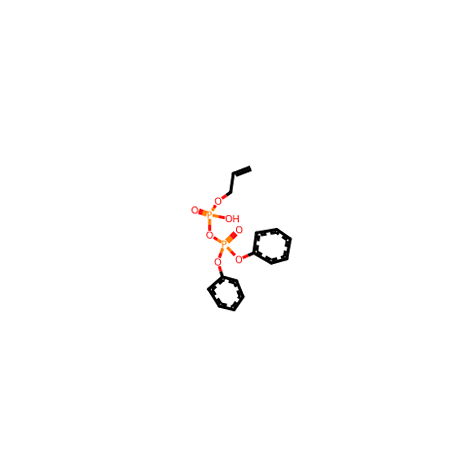 C=CCOP(=O)(O)OP(=O)(Oc1ccccc1)Oc1ccccc1